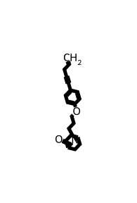 C=CCC#Cc1ccc(OCCCN2C(=O)C3CCC2CC3)cc1